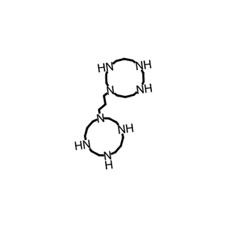 C1CNCCNCCCN(CCCN2CCCNCCNCCCNCC2)CCNC1